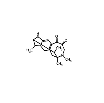 CC1C2CC3=C4C=C2NC1C(C)C(C)(C3)N(C)CC(=O)C4=O